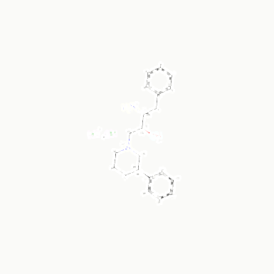 Cl.Cl.N[C@H](Cc1ccccc1)[C@@H](O)CN1CCC[C@H](c2ccccc2)C1